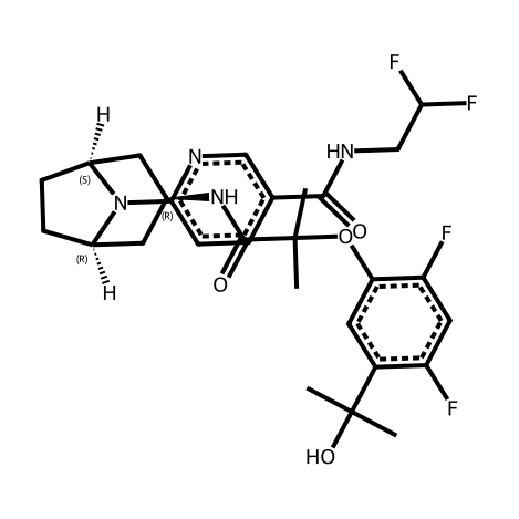 CC(C)(Oc1cc(C(C)(C)O)c(F)cc1F)C(=O)N[C@H]1C[C@H]2CC[C@@H](C1)N2c1ccc(C(=O)NCC(F)F)cn1